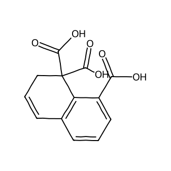 O=C(O)c1cccc2c1C(C(=O)O)(C(=O)O)CC=C2